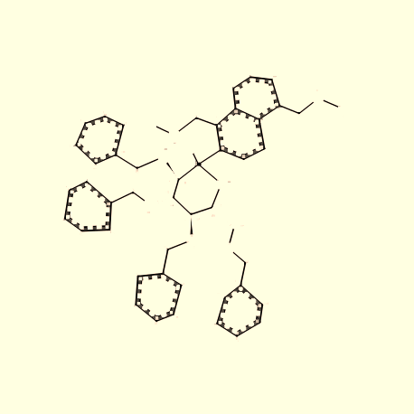 OC1(c2ccc3c(COP)cccc3c2COP)S[C@H](COCc2ccccc2)[C@@H](OCc2ccccc2)[C@H](OCc2ccccc2)[C@H]1OCc1ccccc1